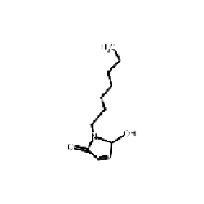 CCCCCCCN1C(=O)C=CC1O